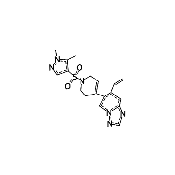 C=Cc1cc2ncnn2cc1C1=CCN(S(=O)(=O)c2cnn(C)c2C)CC1